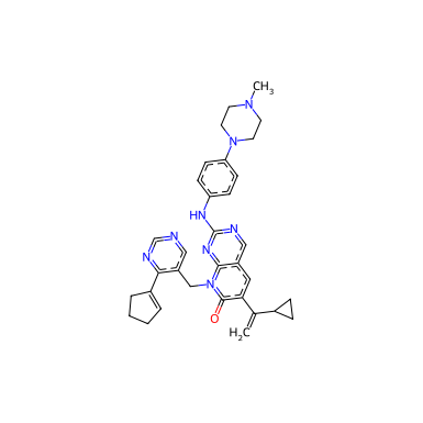 C=C(c1cc2cnc(Nc3ccc(N4CCN(C)CC4)cc3)nc2n(Cc2cncnc2C2=CCCC2)c1=O)C1CC1